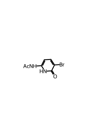 CC(=O)Nc1ccc(Br)c(=O)[nH]1